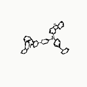 C1=CC(c2ccc3c(c2)c2cccc4c5ccccc5n3c42)CC=C1N(c1ccc(-c2ccccc2)cc1)c1ccc2sc3ccccc3c2c1